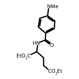 CCOC(=O)CCC(NC(=O)c1ccc(NC)cc1)C(=O)OCC